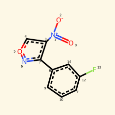 O=[N+]([O-])c1conc1-c1cccc(F)c1